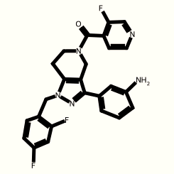 Nc1cccc(-c2nn(Cc3ccc(F)cc3F)c3c2CN(C(=O)c2ccncc2F)CC3)c1